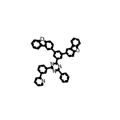 c1ccc(-c2nc(-c3cc(-c4ccc5oc6ccccc6c5c4)cc(-c4ccc5oc6ccccc6c5c4)c3)nc(-c3cccc(-c4ccccn4)c3)n2)cc1